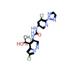 C[C@H](O)c1c(NC(=O)Nc2cnc(-n3nccn3)c(Cl)c2)cnn2cc(Cl)cc12